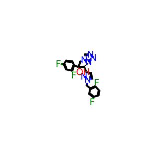 C[C@@H](c1ccn(Cc2cc(F)ccc2F)n1)[C@](O)(Cn1cnnn1)c1ccc(F)cc1F